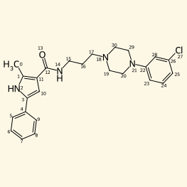 Cc1[nH]c(-c2ccccc2)cc1C(=O)NCCCN1CCN(c2cccc(Cl)c2)CC1